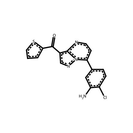 Nc1cc(-c2ccnc3c(C(=O)c4cccs4)cnn23)ccc1Cl